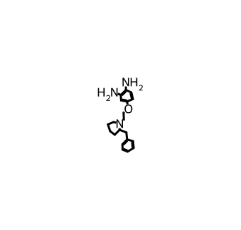 Nc1ccc(OCCN2CCCCC2Cc2ccccc2)cc1N